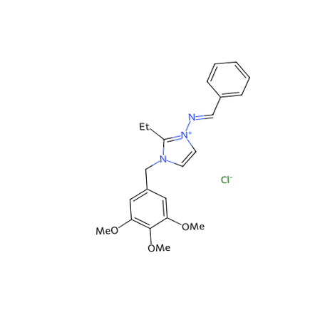 CCc1n(Cc2cc(OC)c(OC)c(OC)c2)cc[n+]1/N=C/c1ccccc1.[Cl-]